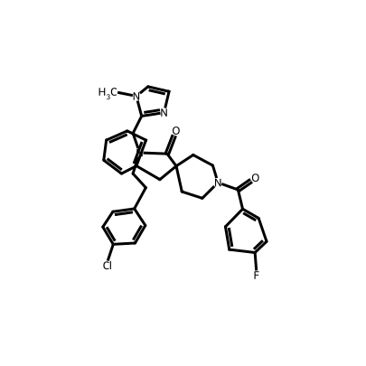 Cn1ccnc1CN(CCc1ccc(Cl)cc1)C(=O)C1(Cc2ccccc2)CCN(C(=O)c2ccc(F)cc2)CC1